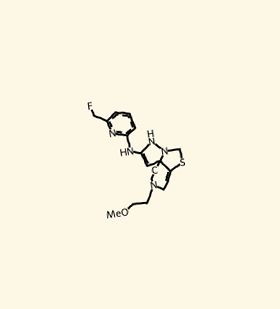 COCCN1CC=C2SCN3NC(Nc4cccc(CF)n4)=CC23CC1